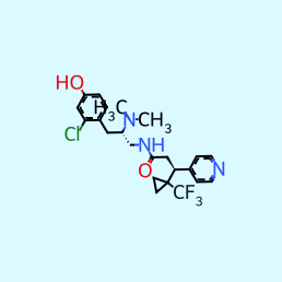 CN(C)[C@H](CNC(=O)C[C@@H](c1ccncc1)C1(C(F)(F)F)CC1)Cc1ccc(O)cc1Cl